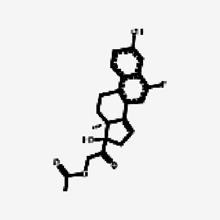 CC(=O)OCC(=O)[C@@]1(O)CC=C2c3cc(F)c4cc(O)ccc4c3CC[C@@]21C